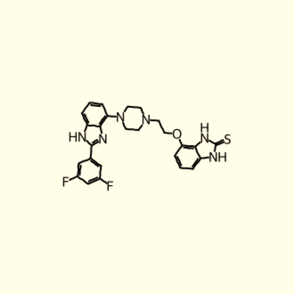 Fc1cc(F)cc(-c2nc3c(N4CCN(CCOc5cccc6[nH]c(=S)[nH]c56)CC4)cccc3[nH]2)c1